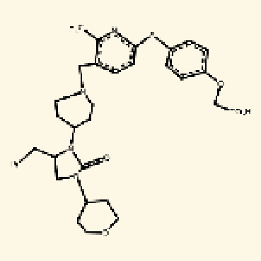 Cc1nc(Sc2ccc(OCC(=O)O)cc2)ccc1CN1CCC(N2C(=O)N(C3CCOCC3)CC2CC(C)C)CC1